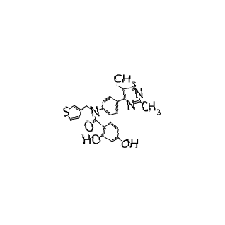 CCc1cnc(C)nc1-c1ccc(N(Cc2ccsc2)C(=O)c2ccc(O)cc2O)cc1